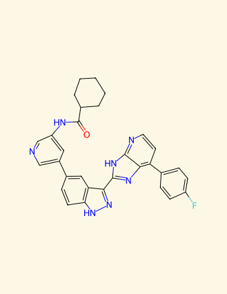 O=C(Nc1cncc(-c2ccc3[nH]nc(-c4nc5c(-c6ccc(F)cc6)ccnc5[nH]4)c3c2)c1)C1CCCCC1